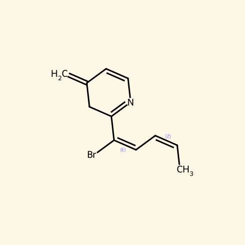 C=C1C=CN=C(/C(Br)=C\C=C/C)C1